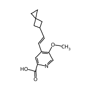 COc1cnc(C(=O)O)cc1C=CC1CC2(CC2)C1